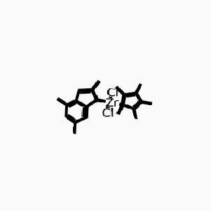 CC1=Cc2c(C)cc(C)cc2[CH]1[Zr]([Cl])([Cl])[C]1(C)C(C)=C(C)C(C)=C1C